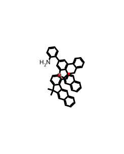 CC1(C)c2cc3ccccc3cc2-c2c(/C=C/Cc3ccccc3-c3cc(-c4ccccc4N)cc4oc5cc6ccccc6cc5c34)cccc21